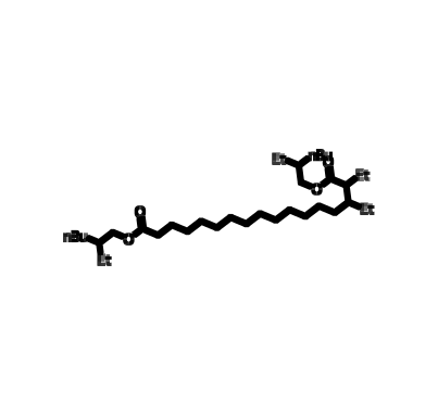 CCCCC(CC)COC(=O)CCCCCCCCCCCCCC(CC)C(CC)C(=O)OCC(CC)CCCC